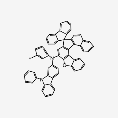 Fc1cccc(N(c2ccc3c4ccccc4n(-c4ccccc4)c3c2)c2cc3c(c4c2oc2ccccc24)-c2c(ccc4ccccc24)C32c3ccccc3-c3ccccc32)c1